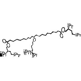 CC(C)CCC(COC(=O)CCCCCCCCCC(CCCCCCCCCC(=O)OCC(CCC(C)C)C(C)C)OCCCCN(C(C)C)C(C)C)C(C)C